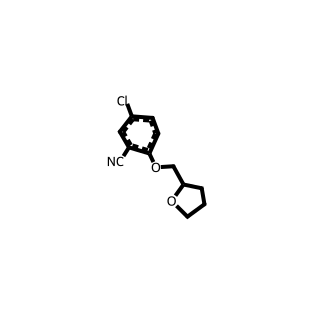 N#Cc1cc(Cl)ccc1OCC1CCCO1